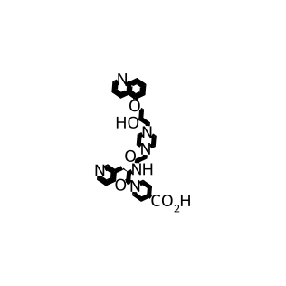 O=C(CN1CCN(C[C@@H](O)COc2cccc3ncccc23)CC1)N[C@@H](Cc1cccnc1)C(=O)N1CCC(C(=O)O)CC1